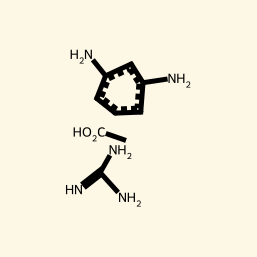 CC(=O)O.N=C(N)N.Nc1cccc(N)c1